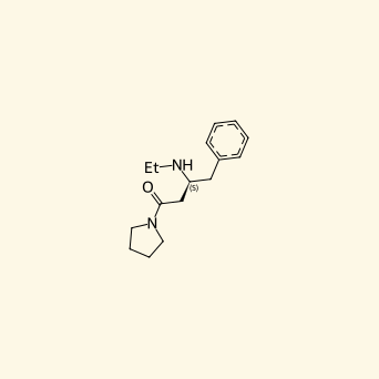 CCN[C@H](CC(=O)N1CCCC1)Cc1ccccc1